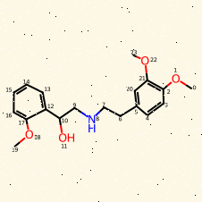 COc1ccc(CCNCC(O)c2ccccc2OC)cc1OC